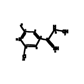 Cc1cc(C(=N)NO)cc(Cl)n1